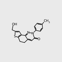 Cc1ccc(-n2nc3c(cc2=O)CCc2sc(CO)cc2-3)cc1